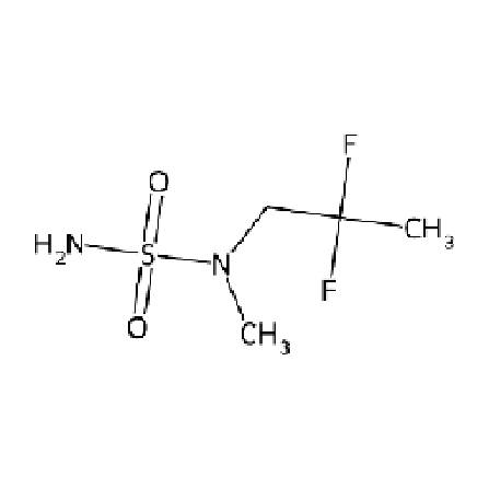 CN(CC(C)(F)F)S(N)(=O)=O